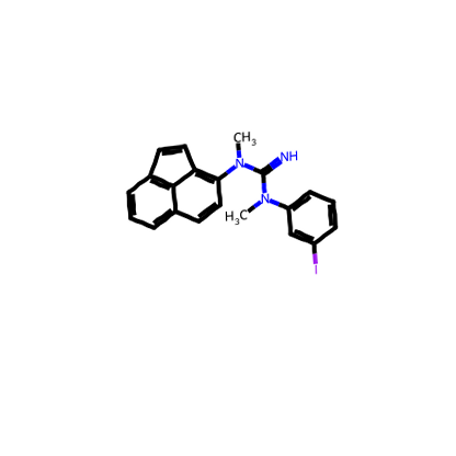 CN(C(=N)N(C)c1ccc2cccc3c2c1C=C3)c1cccc(I)c1